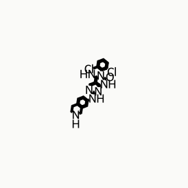 N=c1c2cnc(Nc3ccc4c(c3)CNCC4)nc2[nH]c(=O)n1-c1c(Cl)cccc1Cl